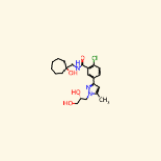 Cc1cc(-c2ccc(Cl)c(C(=O)NCC3(O)CCCCCC3)c2)nn1C[C@@H](O)CO